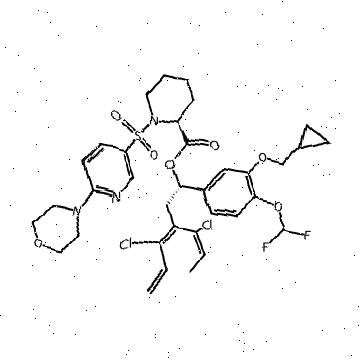 C=C/C(Cl)=C(C[C@H](OC(=O)[C@@H]1CCCCN1S(=O)(=O)c1ccc(N2CCOCC2)nc1)c1ccc(OC(F)F)c(OCC2CC2)c1)\C(Cl)=C/C